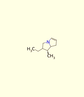 CCC1CN2C=CCC2[C@H]1C